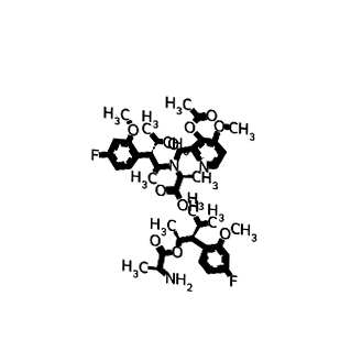 COc1cc(F)ccc1[C@H](C(C)C)C(C)N(C(=O)c1nccc(OC)c1OC(C)=O)[C@@H](C)C(=O)O.COc1cc(F)ccc1[C@H](C(C)C)[C@H](C)OC(=O)[C@H](C)N